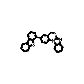 c1ccc2c(c1)nc1n2-c2ccc(-c3cccc4c3sc3ccccc34)cc2CS1